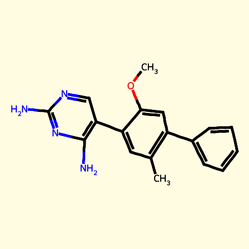 COc1cc(-c2ccccc2)c(C)cc1-c1cnc(N)nc1N